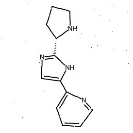 c1ccc(-c2cnc([C@@H]3CCCN3)[nH]2)nc1